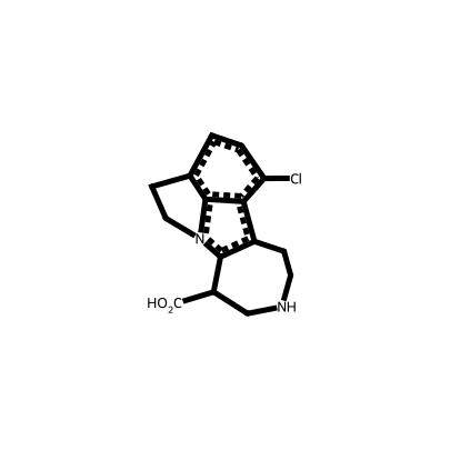 O=C(O)C1CNCCc2c1n1c3c(ccc(Cl)c23)CC1